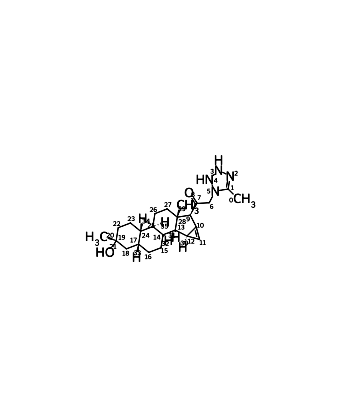 CC1=NNNN1CC(=O)[C@H]1C2=C[C@H]2[C@H]2[C@@H]3CC[C@@H]4C[C@](C)(O)CC[C@@H]4[C@H]3CC[C@]12C